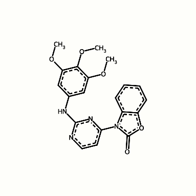 COc1cc(Nc2nccc(-n3c(=O)oc4ccccc43)n2)cc(OC)c1OC